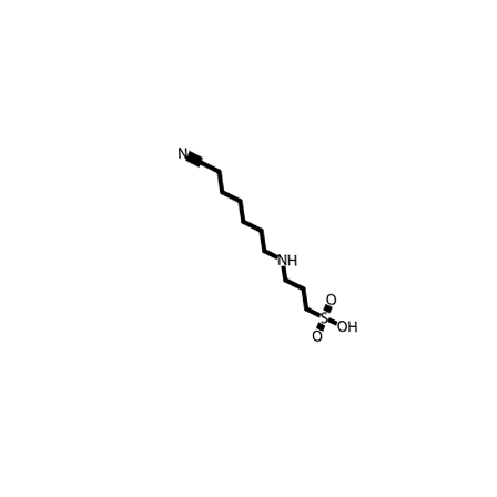 N#CCCCCCCNCCCS(=O)(=O)O